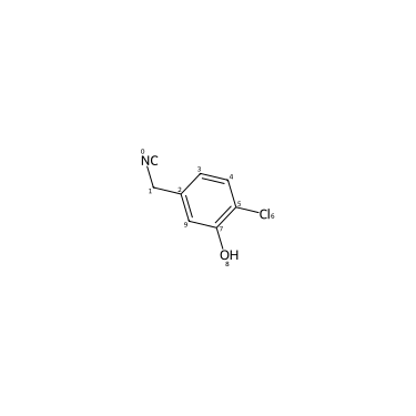 [C-]#[N+]Cc1ccc(Cl)c(O)c1